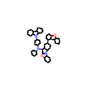 c1ccc(N(c2ccc(-n3c4ccccc4c4ccccc43)cc2)c2c3cc(-c4cccc5oc6ccccc6c45)ccc3n3c2oc2ccccc23)cc1